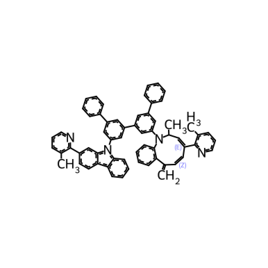 C=C1/C=C\C(c2ncccc2C)=C/C(C)N(c2cc(-c3ccccc3)cc(-c3cc(-c4ccccc4)cc(-n4c5ccccc5c5ccc(-c6ncccc6C)cc54)c3)c2)c2ccccc21